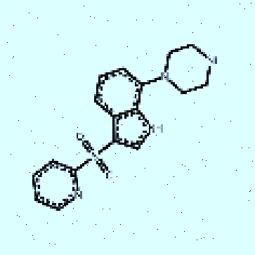 O=S(=O)(c1ccccn1)c1c[nH]c2c(N3CCNCC3)cccc12